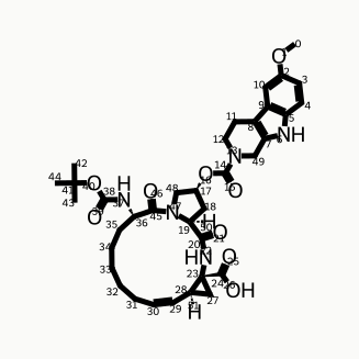 COc1ccc2[nH]c3c(c2c1)CCN(C(=O)O[C@@H]1C[C@H]2C(=O)N[C@]4(C(=O)O)C[C@H]4/C=C\CCCCC[C@H](NC(=O)OC(C)(C)C)C(=O)N2C1)C3